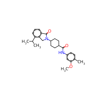 COc1cc(NC(=O)C2CCC(N3Cc4c(cccc4C(C)C)C3=O)CC2)ccc1C